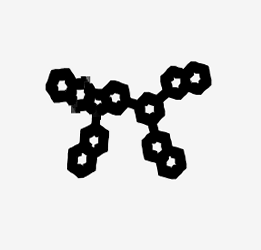 c1ccc2cc(-c3cc(-c4ccc5ccccc5c4)cc(-c4ccc5c6nc7ccccc7nc6n(-c6ccc7ccccc7c6)c5c4)c3)ccc2c1